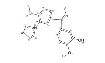 CC=C(c1ccc(OC)c(O)c1)c1ccc(OC)c(-n2cccc2)c1